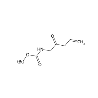 C=CCC(=O)CNC(=O)OC(C)(C)C